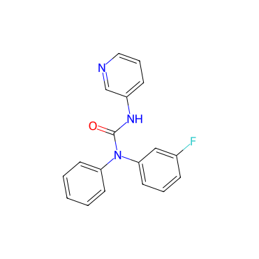 O=C(Nc1cccnc1)N(c1ccccc1)c1cccc(F)c1